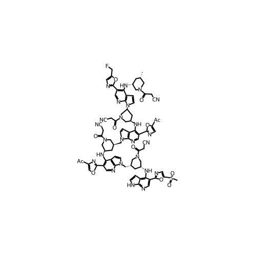 CC(=O)c1coc(-c2cnc3c(ccn3C[C@H]3C[C@@H](Nc4c(-c5ncc(S(C)(=O)=O)o5)cnc5[nH]ccc45)CN(C(=O)CC#N)C3)c2N[C@@H]2C[C@H](Cn3ccc4c(N[C@@H]5C[C@H](n6ccc7c(N[C@@H]8C[C@H](C)CN(C(=O)CC#N)C8)c(-c8ncc(CF)o8)cnc76)CN(C(=O)CC#N)C5)c(-c5ncc(C(C)=O)o5)cnc43)CN(C(=O)CC#N)C2)n1